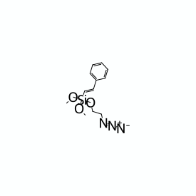 CO[Si](C=Cc1ccccc1)(OC)OCCN=[N+]=[N-]